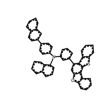 c1cc(-c2cc3oc4ccccc4c3c3sc4ccccc4c23)cc(N(c2ccc(-c3ccc4ccccc4c3)cc2)c2cccc3ccccc23)c1